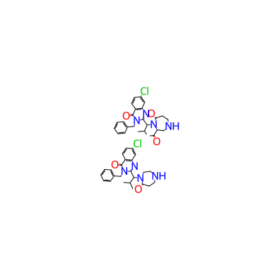 CC(=O)C1CNCCC(=O)N1C(c1nc2cc(Cl)ccc2c(=O)n1Cc1ccccc1)C(C)C.CC(C)C(c1nc2cc(Cl)ccc2c(=O)n1Cc1ccccc1)N1CCNCCC1=O